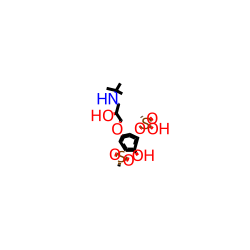 CC(C)(C)NCC(O)COc1ccc(O)c(S(C)(=O)=O)c1.CS(=O)(=O)O